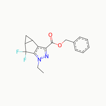 CCn1nc(C(=O)OCc2ccccc2)c2c1C(F)(F)C1CC21